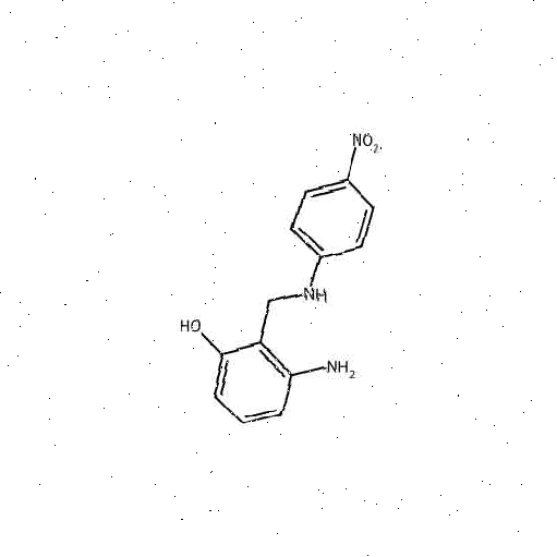 Nc1cccc(O)c1CNc1ccc([N+](=O)[O-])cc1